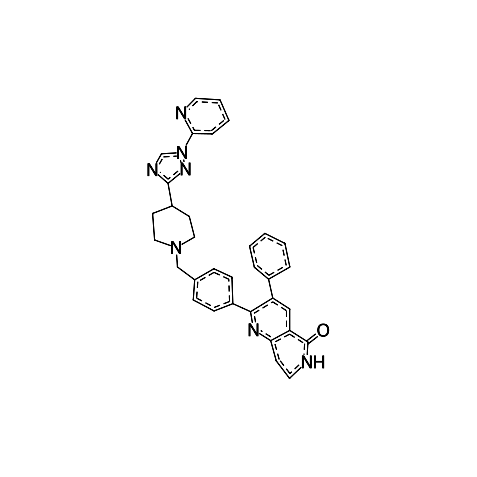 O=c1[nH]ccc2nc(-c3ccc(CN4CCC(c5ncn(-c6ccccn6)n5)CC4)cc3)c(-c3ccccc3)cc12